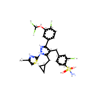 CC(=O)c1csc(-n2nc(-c3ccc(F)c(OC(F)F)c3)c(Cc3ccc(S(N)(=O)=O)c(F)c3)c2CC2CC2)n1